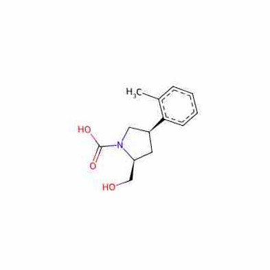 Cc1ccccc1[C@H]1C[C@@H](CO)N(C(=O)O)C1